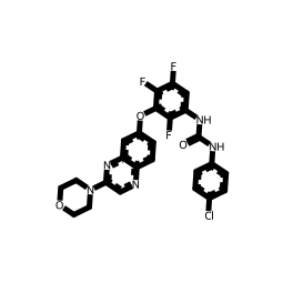 O=C(Nc1ccc(Cl)cc1)Nc1cc(F)c(F)c(Oc2ccc3ncc(N4CCOCC4)nc3c2)c1F